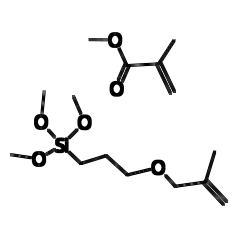 C=C(C)C(=O)OC.C=C(C)COCCC[Si](OC)(OC)OC